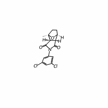 C[C@]12CC[C@H](O1)[C@@H]1C(=O)N(c3cc(Cl)cc(Cl)c3)C(=O)[C@@H]12